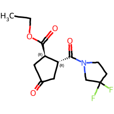 CCOC(=O)[C@@H]1CC(=O)C[C@H]1C(=O)N1CCC(F)(F)C1